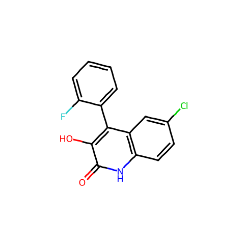 O=c1[nH]c2ccc(Cl)cc2c(-c2ccccc2F)c1O